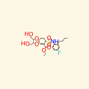 CCCCc1cc(F)ccc1NS(=O)(=O)C1CCC2(C=C1C(=O)OCC)OC(CO)C(CO)O2